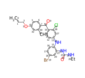 C=CCOc1ccc(C(=O)c2ccc(Nc3ccc(Br)cc3NC(=O)NCC)cc2Cl)c(C)c1